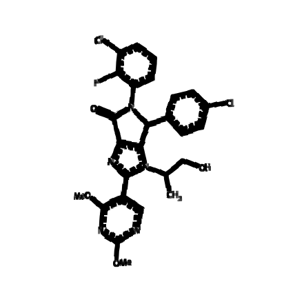 COc1ncc(-c2nc3c(n2C(C)CO)C(c2ccc(Cl)cc2)N(c2cccc(Cl)c2F)C3=O)c(OC)n1